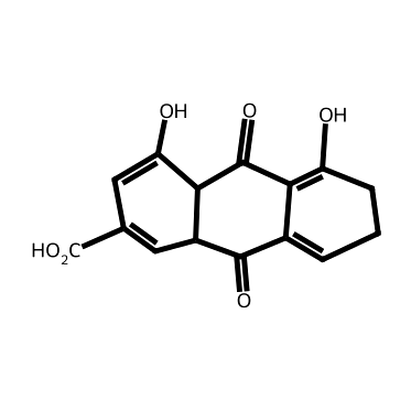 O=C(O)C1=CC2C(=O)C3=CCCC(O)=C3C(=O)C2C(O)=C1